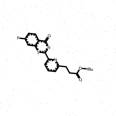 CC(C)(C)OC(=O)CCc1cccc(-c2nc(=O)c3ccc(F)cc3s2)n1